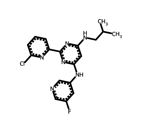 CC(C)CNc1cc(Nc2cncc(F)c2)nc(-c2cccc(Cl)n2)n1